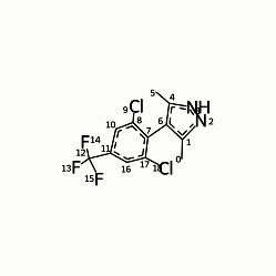 Cc1n[nH]c(C)c1-c1c(Cl)cc(C(F)(F)F)cc1Cl